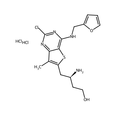 Cc1c(C[C@@H](N)CCO)sc2c(NCc3ccco3)nc(Cl)nc12.Cl.Cl